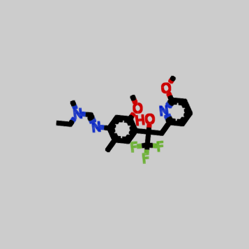 CCN(C)/C=N/c1cc(OC)c(C(O)(Cc2cccc(OC)n2)C(F)(F)F)cc1C